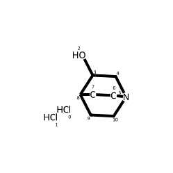 Cl.Cl.OC1CN2CCC1CC2